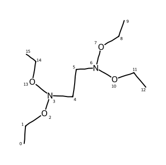 CCON(CCN(OCC)OCC)OCC